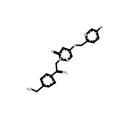 BCc1ccc(C(=C)Cn2ncc(OCc3ccc(Br)cn3)cc2=O)cc1